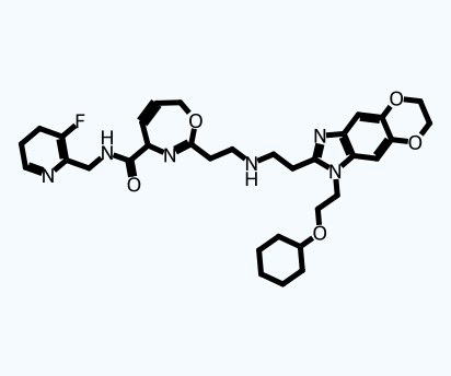 O=C(NCC1=C(F)CCC=N1)C1C#CCOC(CCNCCc2nc3cc4c(cc3n2CCOC2CCCCC2)OCCO4)=N1